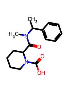 CC(c1ccccc1)N(C)C(=O)C1CCCCN1C(=O)O